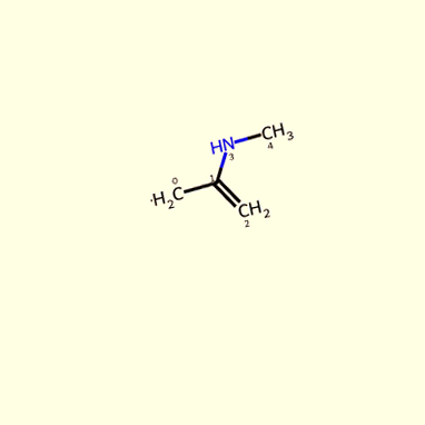 [CH2]C(=C)NC